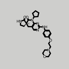 O=C1NCC[C@@]12Cc1cnc(Nc3ccc(OCCN4CCOCC4)cc3)nc1N(C1CCCC1)C2=O